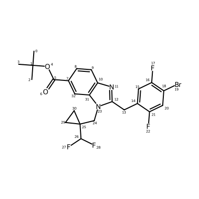 CC(C)(C)OC(=O)c1ccc2nc(Cc3cc(F)c(Br)cc3F)n(CC3(C(F)F)CC3)c2c1